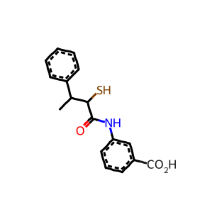 CC(c1ccccc1)C(S)C(=O)Nc1cccc(C(=O)O)c1